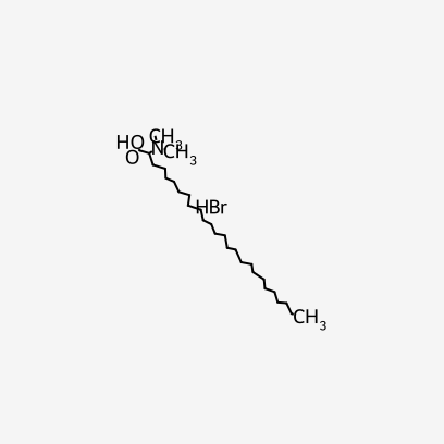 Br.CCCCCCCCCCCCCCCCCCCCCCCCC(C(=O)O)N(C)C